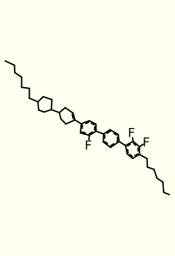 CCCCCCCc1ccc(-c2ccc(-c3ccc(C4=CCC(C5CCC(CCCCCCC)CC5)CC4)cc3F)cc2)c(F)c1F